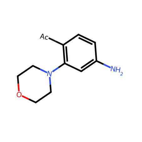 CC(=O)c1ccc(N)cc1N1CCOCC1